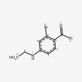 CCC(=O)c1ccc(NCC(=O)O)cc1Br